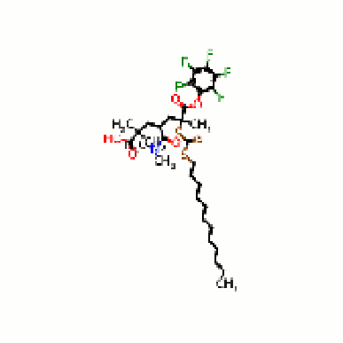 CCCCCCCCCCCCSC(=S)SC(C)(CC(CC(C)(C)C(=O)O)C(=O)N(C)C)C(=O)Oc1c(F)c(F)c(F)c(F)c1F